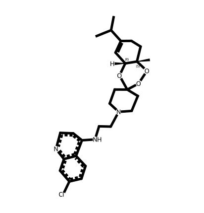 CC(C)C1=C[C@H]2OC3(CCN(CCNc4ccnc5cc(Cl)ccc45)CC3)OO[C@@]2(C)CC1